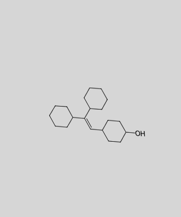 OC1CCC(C=C(C2CCCCC2)C2CCCCC2)CC1